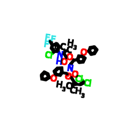 CC(C)[C@@H](Nc1ccc(C(F)(F)F)cc1Cl)C(=O)OC(C#N)c1cccc(Oc2ccccc2)c1.CC1(C)C(C=C(Cl)Cl)C1C(=O)OCc1cccc(Oc2ccccc2)c1